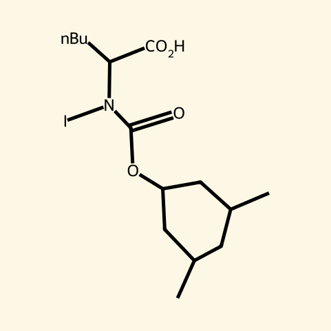 CCCCC(C(=O)O)N(I)C(=O)OC1CC(C)CC(C)C1